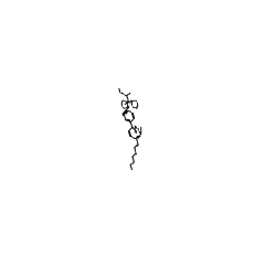 CCCCCCCc1ccc(-c2ccc(OC(=O)C(C)CC)cc2)nc1